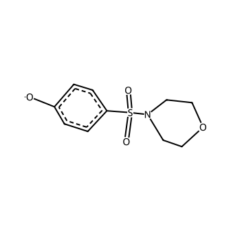 [O]c1ccc(S(=O)(=O)N2CCOCC2)cc1